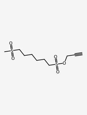 C#CCOS(=O)(=O)CCCCCCS(C)(=O)=O